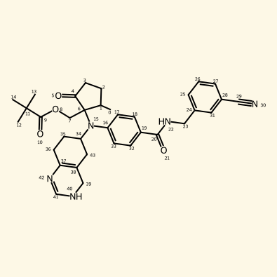 CC1CCC(=O)C1(COC(=O)C(C)(C)C)N(c1ccc(C(=O)NCc2cccc(C#N)c2)cc1)C1CCC2=C(CNC=N2)C1